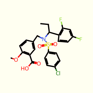 CCC(c1ccc(F)cc1F)N(Cc1ccc(OC)c(C(=O)O)c1)S(=O)(=O)c1ccc(Cl)cc1